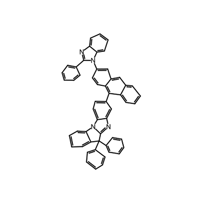 c1ccc(-c2nc3ccccc3n2-c2ccc3c(-c4ccc5c(c4)nc4n5-c5ccccc5C4(c4ccccc4)c4ccccc4)c4ccccc4cc3c2)cc1